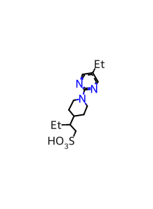 [CH2]CC(CS(=O)(=O)O)C1CCN(c2ncc(CC)cn2)CC1